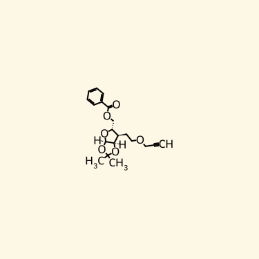 C#CCOCC[C@H]1[C@H]2OC(C)(C)O[C@H]2O[C@@H]1COC(=O)c1ccccc1